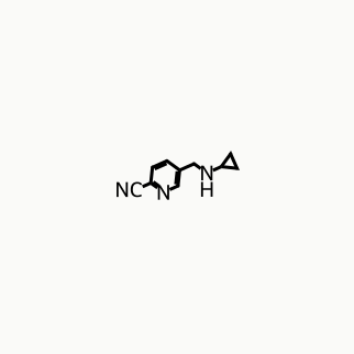 N#Cc1ccc(CNC2CC2)cn1